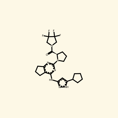 O=C([C@H]1CCCN1c1nc2c(c(Nc3cc(C4CCCC4)[nH]n3)n1)CCC2)N1CC(F)(F)C(F)(F)C1